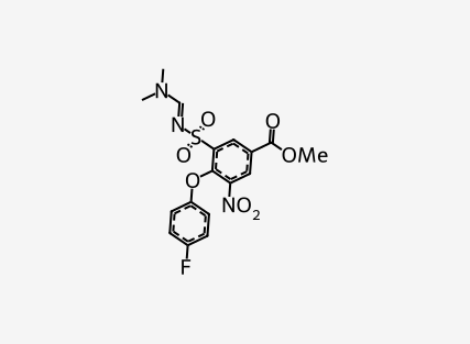 COC(=O)c1cc([N+](=O)[O-])c(Oc2ccc(F)cc2)c(S(=O)(=O)/N=C/N(C)C)c1